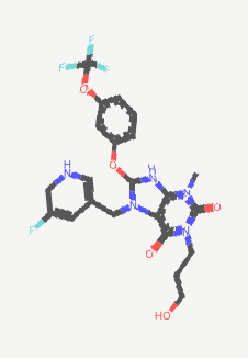 Cn1c2c(c(=O)n(CCCO)c1=O)N(CC1=CNCC(F)=C1)C(Oc1cccc(OC(F)(F)F)c1)N2